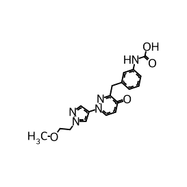 COCCn1cc(-n2ccc(=O)c(Cc3cccc(NC(=O)O)c3)n2)cn1